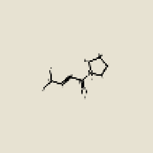 CC(C)/C=C/C(=O)N1CCCC1